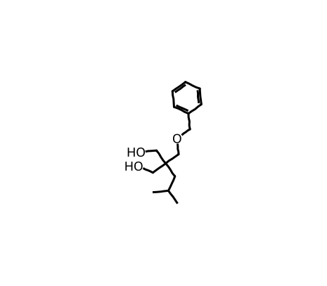 CC(C)CC(CO)(CO)COCc1ccccc1